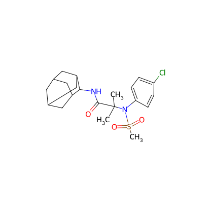 CC(C)(C(=O)NC1C2CC3CC(C2)CC1C3)N(c1ccc(Cl)cc1)S(C)(=O)=O